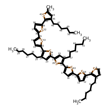 CCCCCCc1ccsc1-c1ccc(-c2ccc(-c3sc(-c4cc(CCCCCC)c(-c5ccc(-c6ccc(-c7sc(C)cc7CCCCCC)s6)s5)s4)cc3CCCCCC)s2)s1